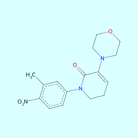 Cc1cc(N2CCC=C(N3CCOCC3)C2=O)ccc1[N+](=O)[O-]